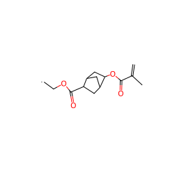 [CH2]COC(=O)C1CC2CC1CC2OC(=O)C(=C)C